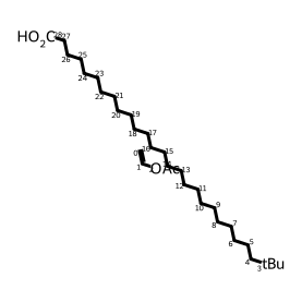 C=COC(C)=O.CC(C)(C)CCCCCCCCCCCCCCCCCCCCCCCCC(=O)O